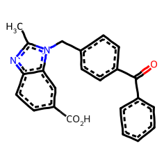 Cc1nc2ccc(C(=O)O)cc2n1Cc1ccc(C(=O)c2ccccc2)cc1